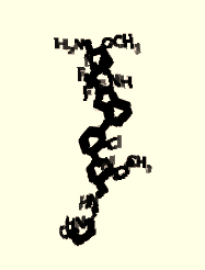 COc1cc(N[C@H]2CCc3c(-c4cccc(-c5ccc(CNC[C@@H]6CCC(=O)N6)c(OC)n5)c4Cl)cccc32)c(C(F)(F)F)nc1CN